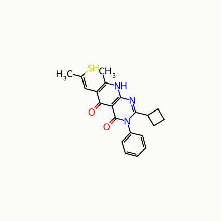 C/C(S)=C/c1c(C)[nH]c2nc(C3CCC3)n(-c3ccccc3)c(=O)c2c1=O